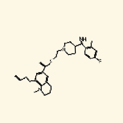 C=CCCc1cc(C(=C)CCCCN2CCC(C(=N)c3ccc(F)cc3C)CC2)cc2c1N(C)CCC2